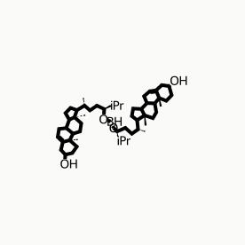 CC(C)[C@H](CC[C@@H](C)C1CCC2C3CC=C4CC(O)CC[C@]4(C)C3CC[C@@]21C)OBO[C@H](CC[C@@H](C)C1CCC2C3CC=C4CC(O)CC[C@]4(C)C3CC[C@@]21C)C(C)C